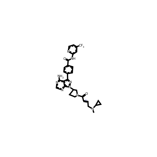 CN(C/C=C/C(=O)N1CCC(n2nc(-c3ccc(C(=O)Nc4cc(C(F)(F)F)ccn4)cc3)c3c(N)ncnc32)C1)C1CC1